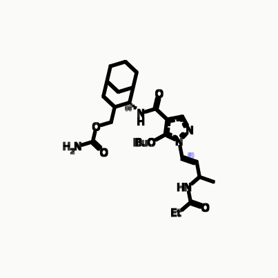 CCC(=O)NC(C)/C=C/n1ncc(C(=O)N[C@H]2C3CCCC(C3)CC2COC(N)=O)c1OCC(C)C